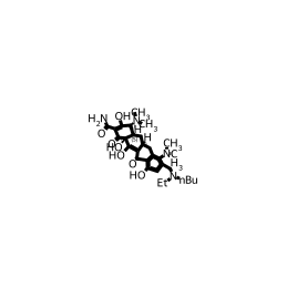 CCCCN(CC)Cc1cc(O)c2c(c1N(C)C)C[C@H]1C[C@H]3[C@H](N(C)C)C(O)=C(C(N)=O)C(=O)[C@@]3(O)C(O)=C1C2=O